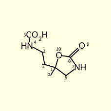 CC1(CCNC(=O)O)CNC(=O)O1